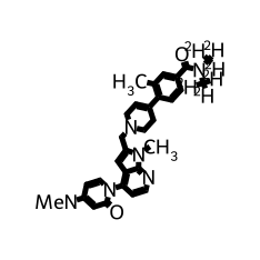 [2H]C([2H])([2H])N(C(=O)c1ccc(C2=CCN(Cc3cc4c(-n5ccc(NC)cc5=O)ccnc4n3C)CC2)c(C)c1)C([2H])([2H])[2H]